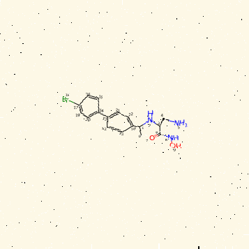 CC(N[C@@H](CN)C(=O)NO)c1ccc(-c2ccc(Br)cc2)cc1